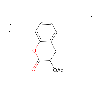 CC(=O)OC1Cc2ccccc2OC1=O